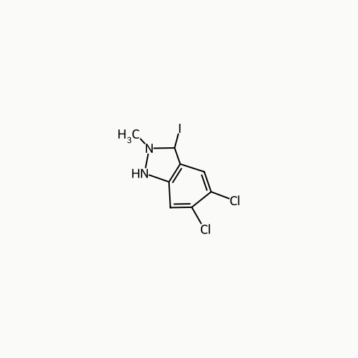 CN1Nc2cc(Cl)c(Cl)cc2C1I